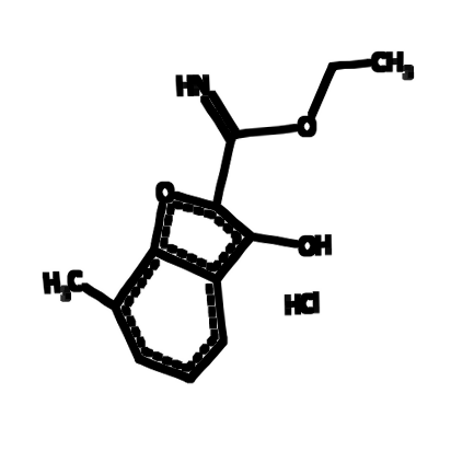 CCOC(=N)c1oc2c(C)cccc2c1O.Cl